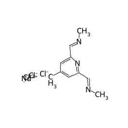 CN=Cc1cc(C)cc(C=NC)n1.[Cl-].[Cl-].[Cl-].[Nd+3]